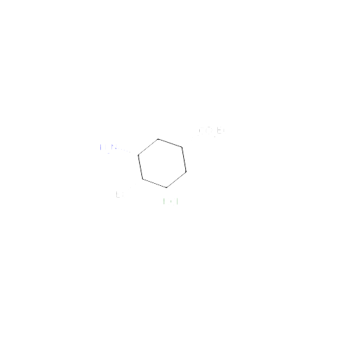 CCOC(=O)[C@@H]1CC[C@H](CC)[C@H](N)C1.Cl